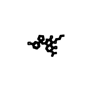 CCCCOc1c2n(c(CC3(c4cccc(Cl)c4)CCCC3)nc1=O)CCN(C(C)C)C2=O